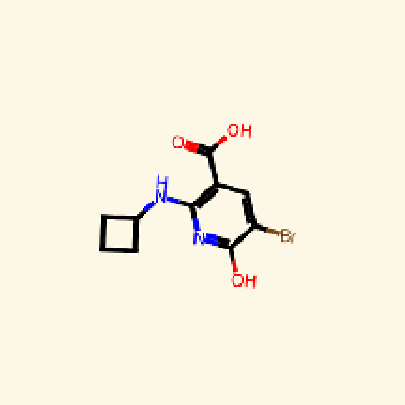 O=C(O)c1cc(Br)c(O)nc1NC1CCC1